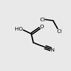 ClCCl.N#CCC(=O)O